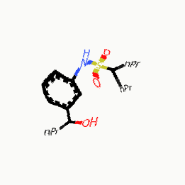 CCCC(O)c1cccc(NS(=O)(=O)C(CCC)CCC)c1